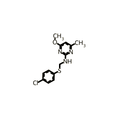 COc1cc(C)nc(NCSc2ccc(Cl)cc2)n1